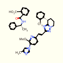 COc1nc(C=Cc2nc3n(n2)CCC[C@H]3c2ccccc2C(F)(F)F)ccc1-n1cnc(C)c1.C[C@@H](NC(=O)c1ccccc1C(=O)O)c1ccccc1